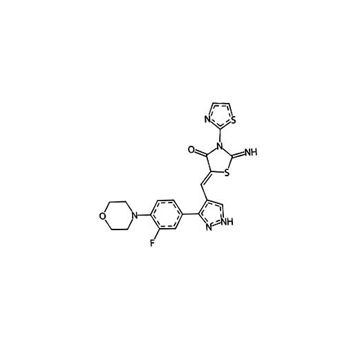 N=C1S/C(=C\c2c[nH]nc2-c2ccc(N3CCOCC3)c(F)c2)C(=O)N1c1nccs1